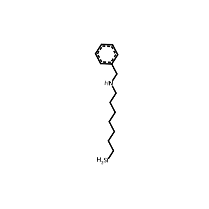 [SiH3]CCCCCCCNCc1ccccc1